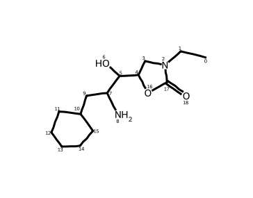 CCN1CC(C(O)C(N)CC2CCCCC2)OC1=O